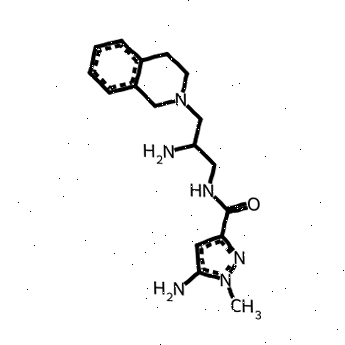 Cn1nc(C(=O)NCC(N)CN2CCc3ccccc3C2)cc1N